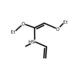 C=C[SiH](C)C(=COCC)OCC